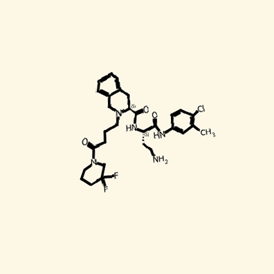 Cc1cc(NC(=O)[C@H](CCN)NC(=O)[C@@H]2Cc3ccccc3CN2CCCC(=O)N2CCCC(F)(F)C2)ccc1Cl